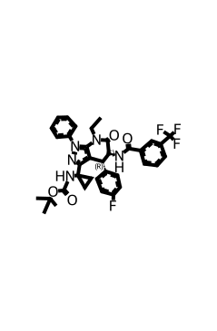 CCN1C(=O)[C@@H](NC(=O)c2cccc(C(F)(F)F)c2)[C@H](c2ccc(F)cc2)c2c(C3(NC(=O)OC(C)(C)C)CC3)nn(-c3ccccc3)c21